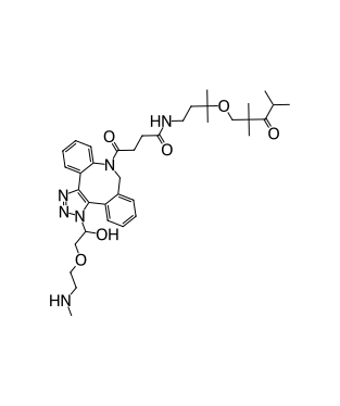 CNCCOCC(O)n1nnc2c1-c1ccccc1CN(C(=O)CCC(=O)NCCC(C)(C)OCC(C)(C)C(=O)C(C)C)c1ccccc1-2